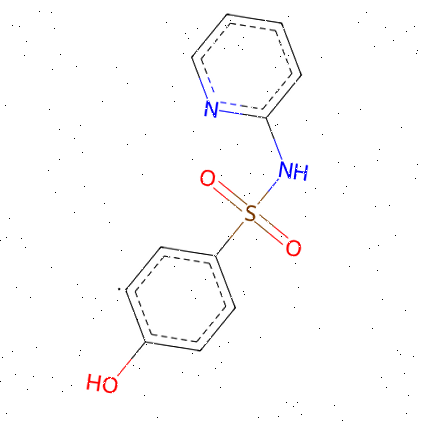 O=S(=O)(Nc1ccccn1)c1c[c]c(O)cc1